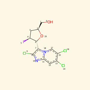 OC[C@@H]1C[C@H](I)[C@@H](c2c(Cl)nc3cc(Cl)c(Cl)cn23)O1